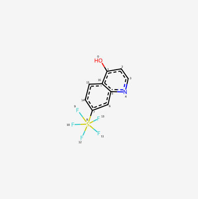 Oc1ccnc2cc(S(F)(F)(F)(F)F)ccc12